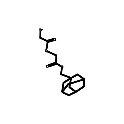 O=C(CBr)OCC(=O)OCC12CC3CC(CC(C3)C1)C2